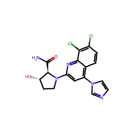 NC(=O)[C@@H]1[C@@H](O)CCN1c1cc(-n2ccnc2)c2ccc(Cl)c(Cl)c2n1